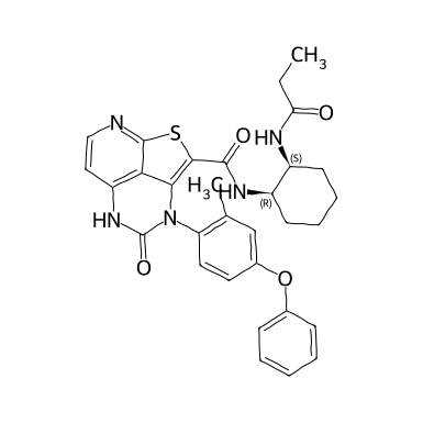 CCC(=O)N[C@H]1CCCC[C@H]1NC(=O)c1sc2nccc3c2c1N(c1ccc(Oc2ccccc2)cc1C)C(=O)N3